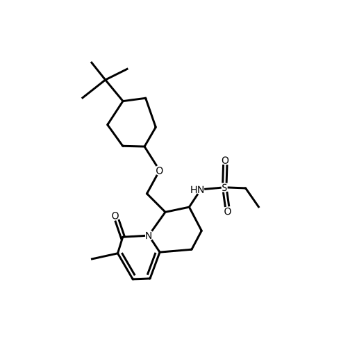 CCS(=O)(=O)NC1CCc2ccc(C)c(=O)n2C1COC1CCC(C(C)(C)C)CC1